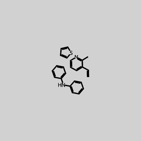 C=Cc1cccnc1C.c1ccc(Nc2ccccc2)cc1.c1ccsc1